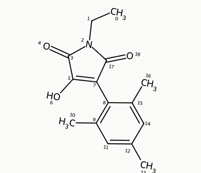 CCN1C(=O)C(O)=C(c2c(C)cc(C)cc2C)C1=O